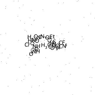 CCc1cc(N2C(=S)N(c3cnc(C#N)c(C(F)(F)F)c3)C(=O)C2(C)C)ccc1OCCN1CCN(C(C)C(=O)Nc2cc(Cl)cc(NC3CCC(=O)NC3=O)c2)CC1